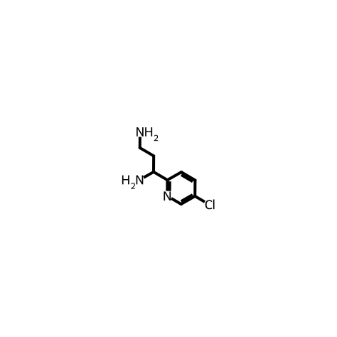 NCCC(N)c1ccc(Cl)cn1